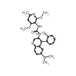 CSc1cc(C)nc(SC)c1NC(=O)Nc1cnc2ccc(N(C)C)cc2c1-c1ccccc1Cl